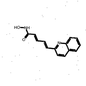 O=C(C=CC=Cc1ccc2ccccc2n1)NO